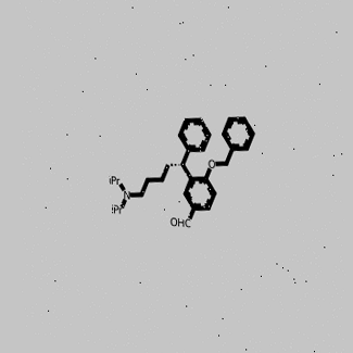 CC(C)N(CCCC[C@H](c1ccccc1)c1cc(C=O)ccc1OCc1ccccc1)C(C)C